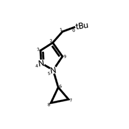 CC(C)(C)Cc1cnn(C2CC2)c1